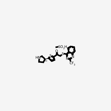 CS(=O)(=O)O.O=C(CSc1nc(C(F)(F)F)nc2ccccc12)c1ccc([C@H]2CCNC2)s1